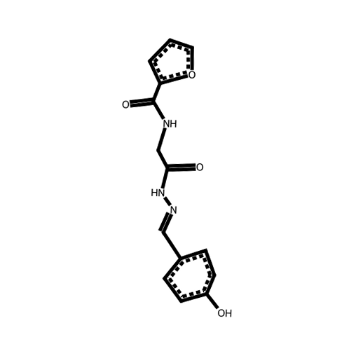 O=C(CNC(=O)c1ccco1)N/N=C/c1ccc(O)cc1